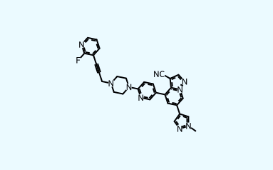 Cn1cc(-c2cc(-c3ccc(N4CCN(CC#Cc5cccnc5F)CC4)nc3)c3c(C#N)cnn3c2)cn1